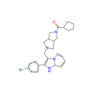 O=C(C1CCCC1)N1CC2CN(CC3=C(c4ccc(Br)cc4)NC4C=CC=CN34)CC2C1